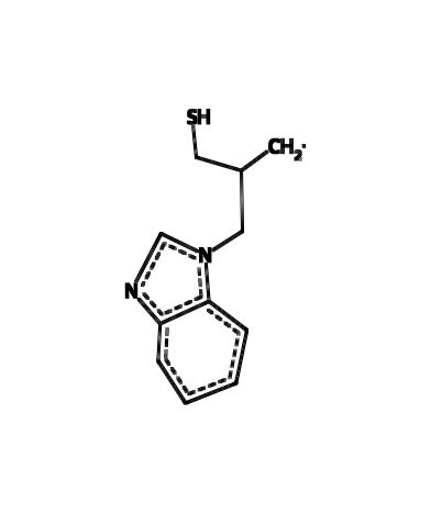 [CH2]C(CS)Cn1cnc2ccccc21